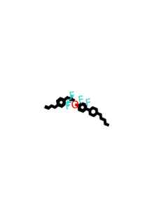 C=CCCc1ccc(CC(F)(F)COc2ccc(C3CCC(CCCCC)CC3)c(F)c2F)c(F)c1